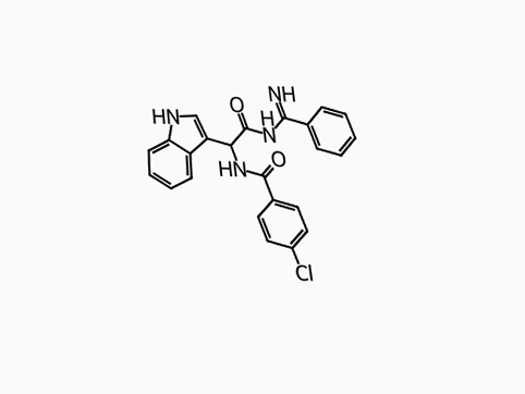 N=C(NC(=O)C(NC(=O)c1ccc(Cl)cc1)c1c[nH]c2ccccc12)c1ccccc1